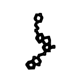 O=c1nc(OCC2COc3ccccc3O2)cc2n1CCc1cc(OCCN3CCOCC3)ccc1-2